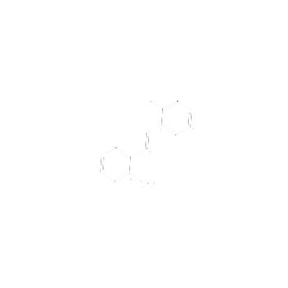 O=S(=O)(O)c1c[c]ccc1C=Cc1cc[c]cc1S(=O)(=O)O